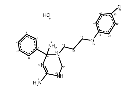 Cl.NC1=NC(N)(c2ccccc2)N(CCCOc2ccc(Cl)cc2)CN1